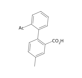 CC(=O)c1ccccc1-c1ccc(C)cc1C(=O)O